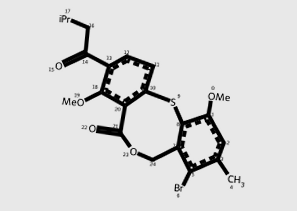 COc1cc(C)c(Br)c2c1Sc1ccc(C(=O)CC(C)C)c(OC)c1C(=O)OC2